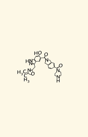 CC1(C)COC(Cc2n[nH]c3cc(O)c(C(=O)N4Cc5ccc(C(=O)N6CCNCC6)cc5C4)cc23)=N1